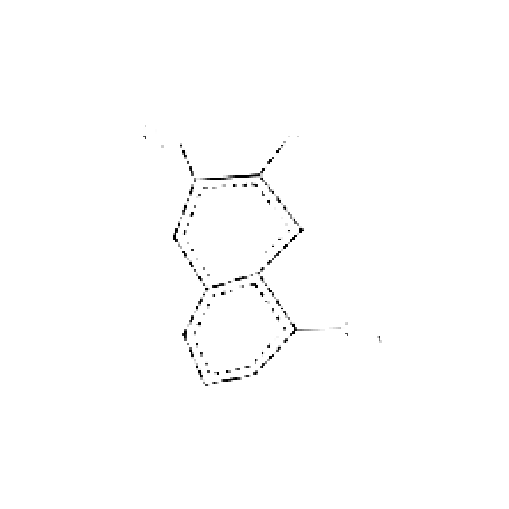 Cc1cccc2cc(C(=O)O)c(O)cc12